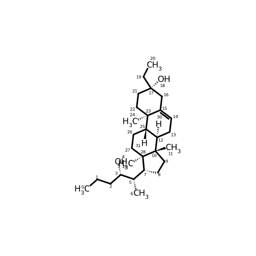 CCC[C@H](O)[C@@H](C)[C@H]1CC[C@@]2(C)[C@@H]3CC=C4C[C@](O)(CC)CC[C@]4(C)[C@H]3CC[C@]12C